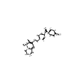 Cc1c(OCc2ccc(C(=O)c3ccc(Cl)cc3)cc2)nc2n(c1=O)CCCC2